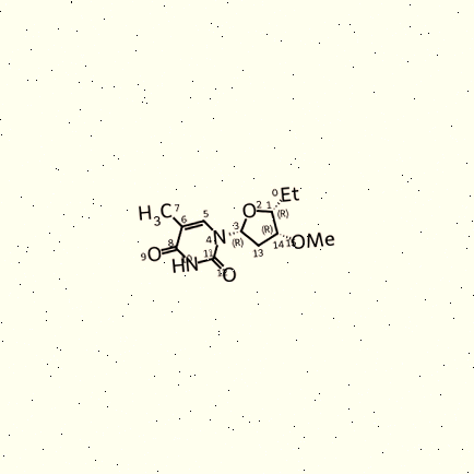 CC[C@H]1O[C@@H](n2cc(C)c(=O)[nH]c2=O)C[C@H]1OC